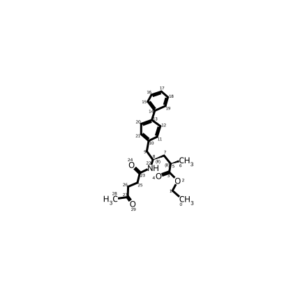 CCOC(=O)[C@H](C)C[C@H](Cc1ccc(-c2ccccc2)cc1)NC(=O)CCC(C)=O